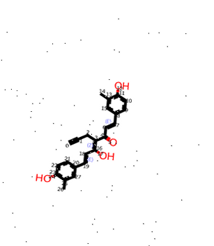 C#CC/C(C(=O)/C=C/c1ccc(O)c(C)c1)=C(O)\C=C\c1ccc(O)c(C)c1